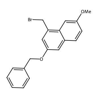 COc1ccc2cc(OCc3ccccc3)cc(CBr)c2c1